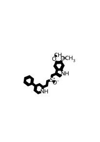 COc1cc2[nH]cc(C[S+]([O-])CCC3CC(c4ccccc4)=CCN3)c2cc1OC